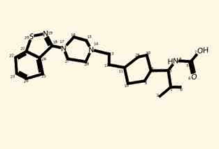 CC(C)C(NC(=O)O)C1CCC(CCN2CCN(c3nsc4ccccc34)CC2)CC1